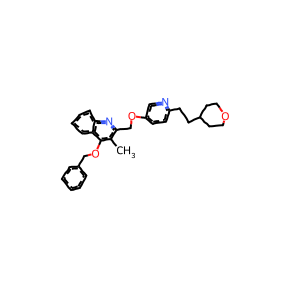 Cc1c(COc2ccc(CCC3CCOCC3)nc2)nc2ccccc2c1OCc1ccccc1